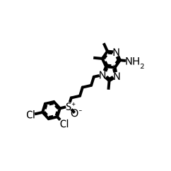 Cc1nc(N)c2nc(C)n(CCCCC[S+]([O-])c3ccc(Cl)cc3Cl)c2c1C